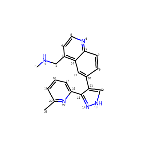 CNCc1ccnc2ccc(-c3c[nH]nc3-c3cccc(C)n3)cc12